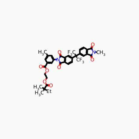 CCC(C)(C)C(=O)OCCOC(=O)c1cc(C)cc(N2C(=O)c3ccc(C(c4ccc5c(c4)C(=O)N(C)C5=O)(C(F)(F)F)C(F)(F)F)cc3C2=O)c1